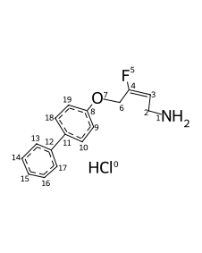 Cl.NC/C=C(/F)COc1ccc(-c2ccccc2)cc1